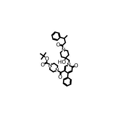 CC(CC(=O)N1CCC(O)(Cn2cc(C(=O)N3CCN(C(=O)OC(C)(C)C)CC3)c(-c3ccccc3)cc2=O)CC1)c1ccccc1